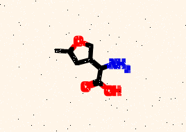 CC1CC(C(N)C(=O)O)CO1